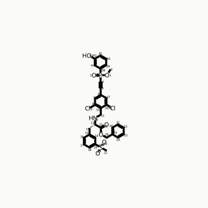 COP(=O)(C#Cc1cc(Cl)c(CN[C@@H](Cc2cccc(S(C)(=O)=O)c2)C(=O)OCc2ccccc2)c(Cl)c1)c1cccc(O)c1